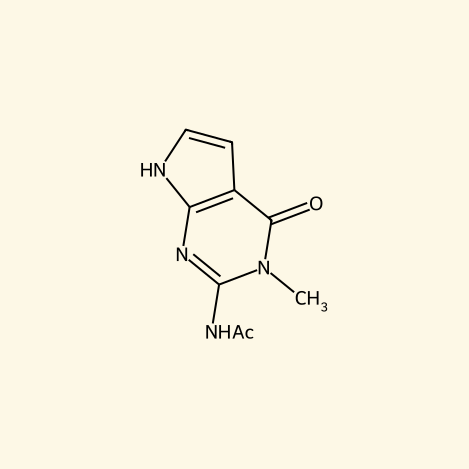 CC(=O)Nc1nc2[nH]ccc2c(=O)n1C